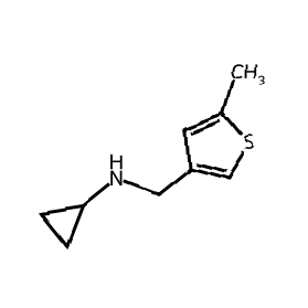 Cc1cc(CNC2CC2)cs1